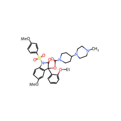 CCOc1ccccc1C1(OC(=O)N2CCC(N3CCN(C)CC3)CC2)C(=O)N(S(=O)(=O)c2ccc(OC)cc2)c2ccc(OC)cc21